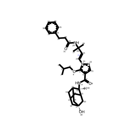 CC(C)COc1c(C(=O)N[C@H]2C3CC4CC2C[C@](O)(C4)C3)cnn1/C=C/C(C)(C)NC(=O)CCc1ccccc1